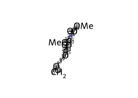 C=CC(=O)OCCCCCCOc1ccc(C(=O)Oc2ccc(/C=C/C(=O)OCCOC)cc2OC)cc1